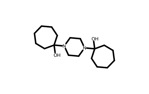 OC1(N2CCN(C3(O)CCCCCC3)CC2)CCCCCC1